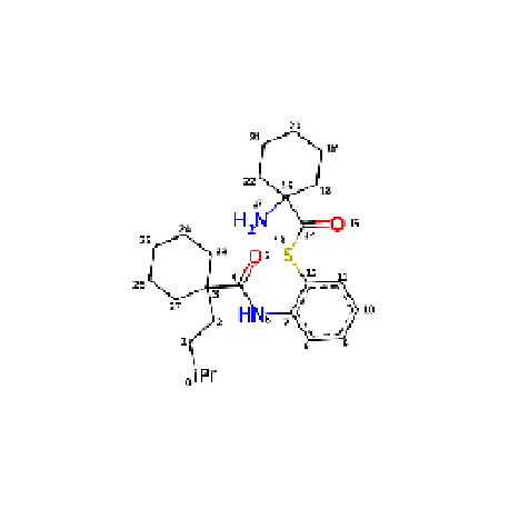 CC(C)CCC1(C(=O)Nc2ccccc2SC(=O)C2(N)CCCCC2)CCCCC1